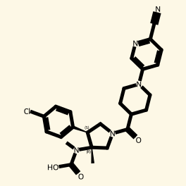 CN(C(=O)O)[C@@]1(C)CN(C(=O)C2CCN(c3ccc(C#N)nc3)CC2)C[C@@H]1c1ccc(Cl)cc1